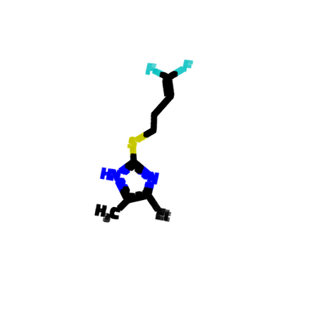 CCc1nc(SCCC=C(F)F)[nH]c1C